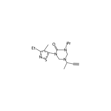 C#CC(C)N1CN(c2snc(CC)c2C)C(=O)N(C(C)C)C1